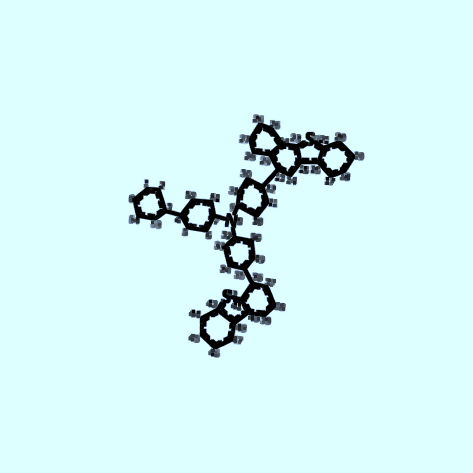 c1ccc(-c2ccc(N(c3ccc(-c4cc5c6ccccc6sc5c5ccccc45)cc3)c3ccc(-c4cccc5c4sc4ccccc45)cc3)cc2)cc1